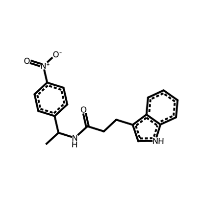 CC(NC(=O)CCc1c[nH]c2ccccc12)c1ccc([N+](=O)[O-])cc1